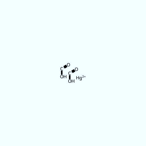 O=[C-]O.O=[C-]O.[Hg+2]